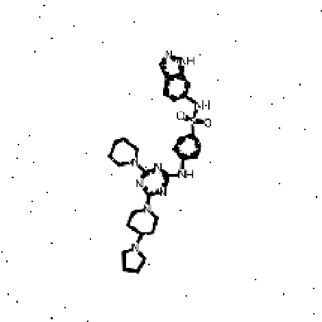 O=S(=O)(Nc1ccc2cn[nH]c2c1)c1ccc(Nc2nc(N3CCCCC3)nc(N3CCC(N4CCCC4)CC3)n2)cc1